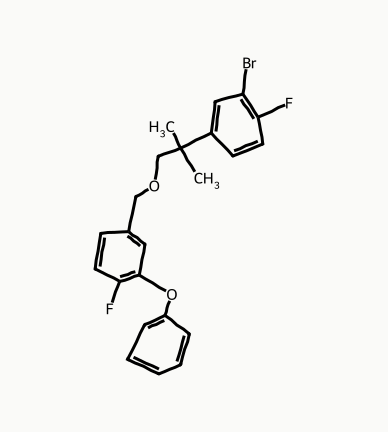 CC(C)(COCc1ccc(F)c(Oc2ccccc2)c1)c1ccc(F)c(Br)c1